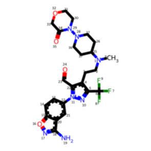 CN(CCc1c(C(F)(F)F)nn(-c2ccc3onc(N)c3c2)c1C=O)C1CCN(N2CCOCC2=O)CC1